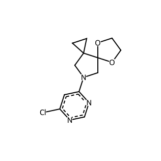 Clc1cc(N2CC3(CC3)C3(C2)OCCO3)ncn1